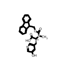 CN(C(=O)OCC1c2ccccc2-c2ccccc21)[C@@H](Cc1cncc(O)c1)C(=O)O